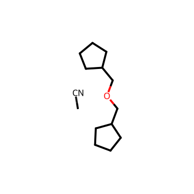 C1CCC(COCC2CCCC2)C1.CC#N